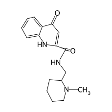 CN1CCCCC1CNC(=O)c1cc(=O)c2ccccc2[nH]1